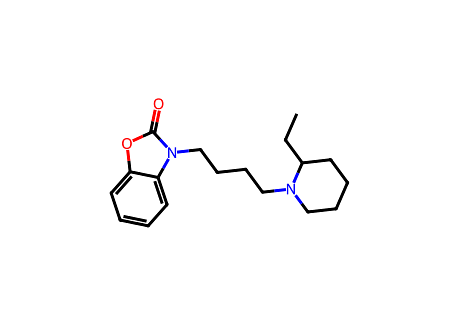 CCC1CCCCN1CCCCn1c(=O)oc2ccccc21